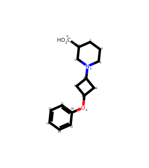 O=C(O)C1CCCN(C2CC(Oc3ccccc3)C2)C1